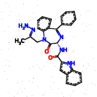 CC(CN1C(=O)[C@@H](NC(=O)c2cc3ccccc3[nH]2)N=C(c2ccccc2)c2ccccc21)=NN